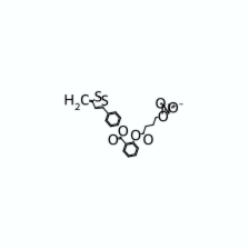 C=C1C=C(c2ccc(OC(=O)c3ccccc3OC(=O)CCCO[N+](=O)[O-])cc2)SS1